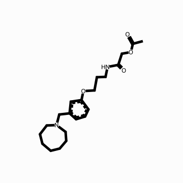 CC(=O)OCC(=O)NCCCOc1cccc(CN2CCCCCCC2)c1